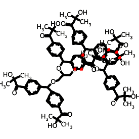 CC(C)(O)C(=O)c1ccc(C(OCC(COCC(COC(c2ccc(C(=O)C(C)(C)O)cc2)c2ccc(C(=O)C(C)(C)O)cc2)OC(c2ccc(C(=O)C(C)(C)O)cc2)c2ccc(C(=O)C(C)(C)O)cc2)OC(c2ccc(C(=O)C(C)(C)O)cc2)c2ccc(C(=O)C(C)(C)O)cc2)c2ccc(C(=O)C(C)(C)O)cc2)cc1